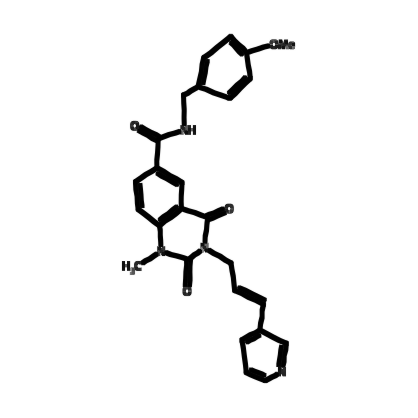 COc1ccc(CNC(=O)c2ccc3c(c2)c(=O)n(CC=Cc2cccnc2)c(=O)n3C)cc1